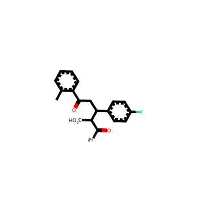 Cc1ccccc1C(=O)CC(c1ccc(F)cc1)C(C(=O)O)C(=O)C(C)C